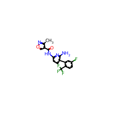 Cc1nocc1C(=O)Nc1ccc(-c2cc(F)ccc2C(F)(F)F)c(N)n1